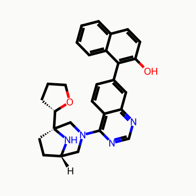 Oc1ccc2ccccc2c1-c1ccc2c(N3C[C@@H]4CC[C@]([C@@H]5CCCO5)(C3)N4)ncnc2c1